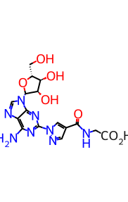 Nc1nc(-n2cc(C(=O)NCC(=O)O)cn2)nc2c1ncn2[C@@H]1O[C@H](CO)[C@@H](O)[C@H]1O